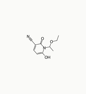 CCOC(C)n1c(O)ccc(C#N)c1=O